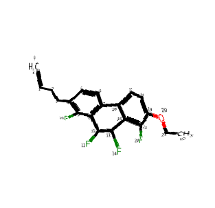 C=CCCc1ccc2c(c1F)C(F)C(F)c1c-2ccc(OCC)c1F